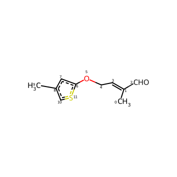 CC(C=O)=CCOc1cc(C)cs1